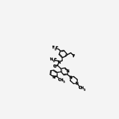 Cc1ncccc1-c1cc(N2CCN(C)CC2)ncc1C(=O)N(C)Cc1cc(CF)cc(C(F)(F)F)c1